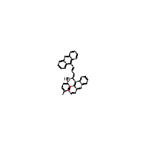 Cc1ccc(N/C(=C\C=C\c2c3ccccc3cc3ccccc23)c2c3ccccc3cc3ccccc23)cc1